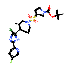 C[C@H]1CN(S(=O)(=O)C2CCN(C(=O)OC(C)(C)C)C2)CC[C@H]1c1[nH]c(-c2ccc(F)cn2)nc1Cl